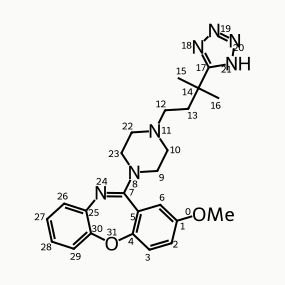 COc1ccc2c(c1)C(N1CCN(CCC(C)(C)c3nnn[nH]3)CC1)=Nc1ccccc1O2